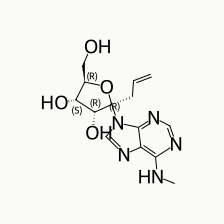 C=CC[C@@]1(n2cnc3c(NC)ncnc32)O[C@H](CO)[C@@H](O)[C@H]1O